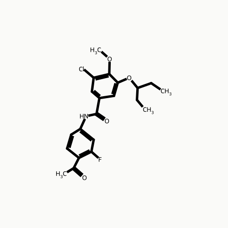 CCC(CC)Oc1cc(C(=O)Nc2ccc(C(C)=O)c(F)c2)cc(Cl)c1OC